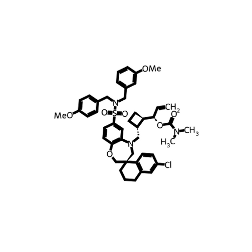 C=C[C@H](OC(=O)N(C)C)[C@@H]1CC[C@H]1CN1C[C@@]2(CCCc3cc(Cl)ccc32)COc2ccc(S(=O)(=O)N(Cc3ccc(OC)cc3)Cc3cccc(OC)c3)cc21